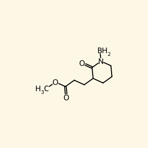 BN1CCCC(CCC(=O)OC)C1=O